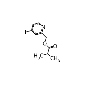 CC(C)C(=O)OCc1cc(I)ccn1